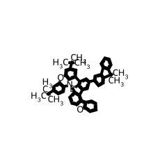 CC(C)(C)c1ccc2c(c1)Oc1cc(C(C)(C)C)cc3c1N2B1c2ccc4oc5ccccc5c4c2-c2cc(-c4ccc5c(c4)-c4ccccc4C5(C)C)cc-3c21